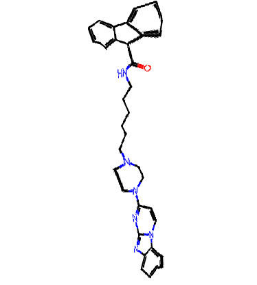 O=C(NCCCCCCN1CCN(c2ccn3c(n2)nc2ccccc23)CC1)C1c2ccccc2-c2ccccc21